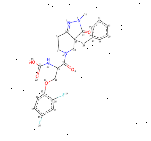 CN1N=C2CCN(C(=O)C(COc3ccc(F)cc3F)NC(=O)O)CC2(Cc2ccccc2)C1=O